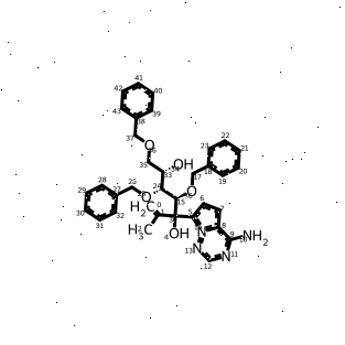 C=C(C)C(O)(c1ccc2c(N)ncnn12)[C@H](OCc1ccccc1)[C@H](OCc1ccccc1)[C@@H](O)COCc1ccccc1